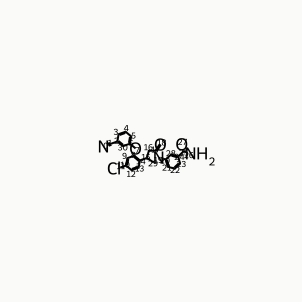 N#Cc1cccc(Oc2cc(Cl)ccc2C2CC(=O)N(c3cccc(C(N)=O)c3)C2)c1